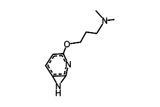 CN(C)CCCOc1ccc2c(n1)N2